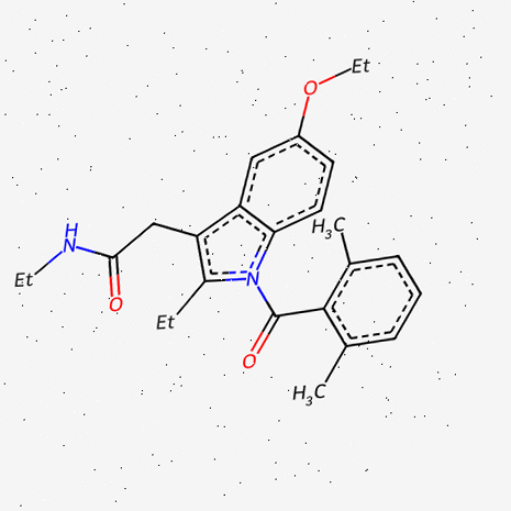 CCNC(=O)Cc1c(CC)n(C(=O)c2c(C)cccc2C)c2ccc(OCC)cc12